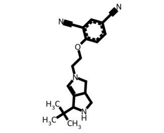 CC(C)(C)C1NCC2CN(CCOc3ccc(C#N)cc3C#N)C=C21